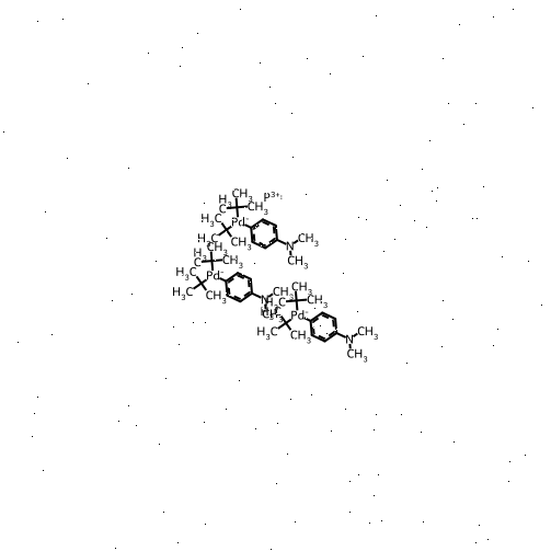 CN(C)c1cc[c]([Pd-]([C](C)(C)C)[C](C)(C)C)cc1.CN(C)c1cc[c]([Pd-]([C](C)(C)C)[C](C)(C)C)cc1.CN(C)c1cc[c]([Pd-]([C](C)(C)C)[C](C)(C)C)cc1.[P+3]